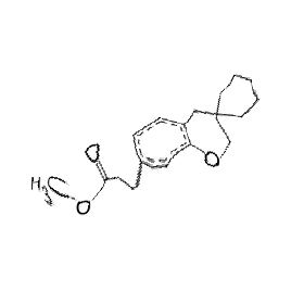 COC(=O)Cc1ccc2c(c1)OCC1(CCCCC1)C2